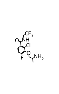 CC(N)COc1c(F)ccc(C(=O)NCC(F)(F)F)c1Cl